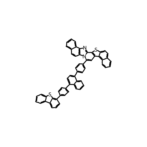 c1ccc2c(c1)ccc1c2nc2c3sc4ccc5ccccc5c4c3cc(-c3ccc(-c4ccc(-c5ccc(-c6cccc7c6sc6ccccc67)cc5)c5ccccc45)cc3)n12